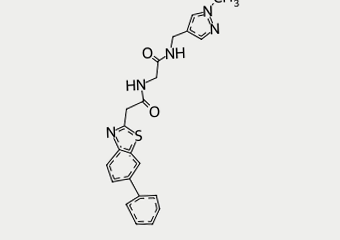 Cn1cc(CNC(=O)CNC(=O)Cc2nc3ccc(-c4ccccc4)cc3s2)cn1